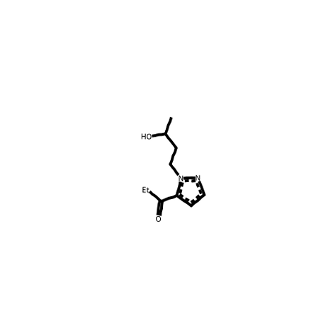 CCC(=O)c1ccnn1CCC(C)O